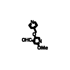 COc1cc(C=O)c(OCc2ccncc2)cn1